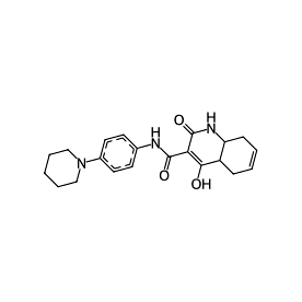 O=C(Nc1ccc(N2CCCCC2)cc1)C1=C(O)C2CC=CCC2NC1=O